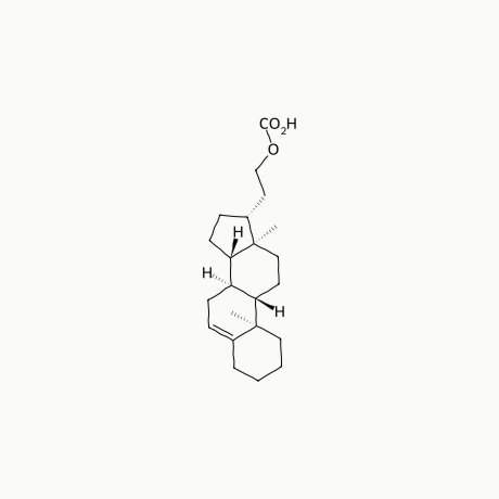 C[C@]12CC[C@H]3[C@@H](CC=C4CCCC[C@@]43C)[C@@H]1CC[C@@H]2CCOC(=O)O